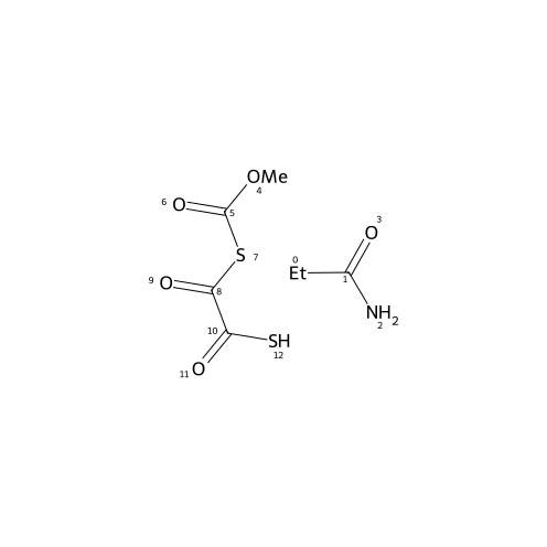 CCC(N)=O.COC(=O)SC(=O)C(=O)S